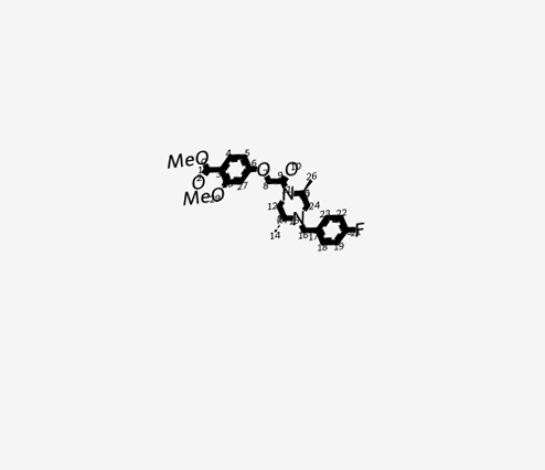 COC(=O)c1ccc(OCC(=O)N2C[C@@H](C)N(Cc3ccc(F)cc3)C[C@@H]2C)cc1OC